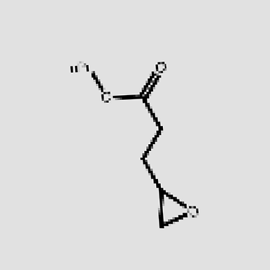 CCCOC(=O)CCC1CO1